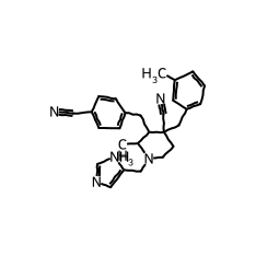 Cc1cccc(CC2(C#N)CCN(Cc3cnc[nH]3)C(C)C2Cc2ccc(C#N)cc2)c1